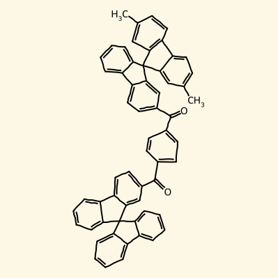 Cc1ccc2c(c1)C1(c3ccccc3-c3ccc(C(=O)c4ccc(C(=O)c5ccc6c(c5)C5(c7ccccc7-c7ccccc75)c5ccccc5-6)cc4)cc31)c1cc(C)ccc1-2